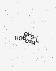 OB(O)OC1=NCCS1